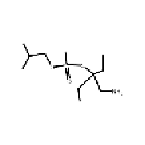 CCC(CC)(CN)SP(C)(=O)OCC(C)C